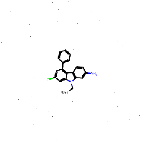 CCCCCCCCCCCn1c2cc(N)ccc2c2c(-c3ccccc3)cc(Cl)cc21